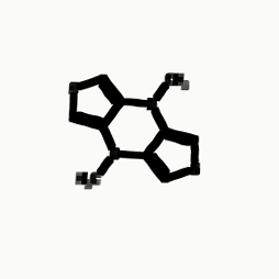 CB1c2cscc2B(C)c2cscc21